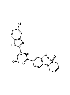 COC[C@H](NC(=O)c1ccc(N2CC=CCS2(=O)=O)c(Cl)c1)c1nc2cc(Cl)ccc2[nH]1